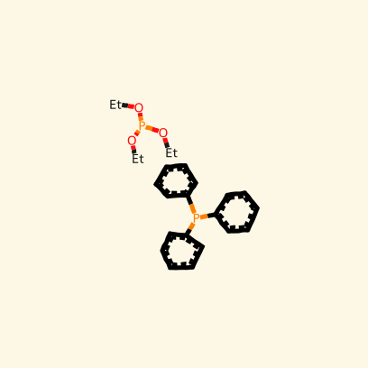 CCOP(OCC)OCC.c1ccc(P(c2ccccc2)c2ccccc2)cc1